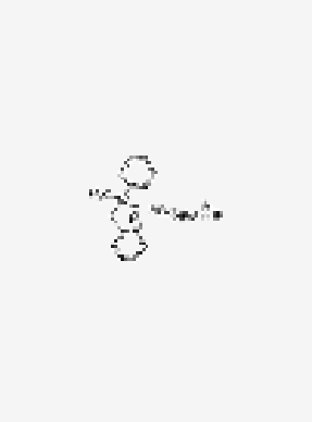 C[N+](C)(Cc1ccccc1)c1ccccc1.F.F.F.F.F.F